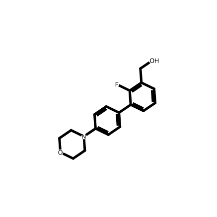 OCc1cccc(-c2ccc(N3CCOCC3)cc2)c1F